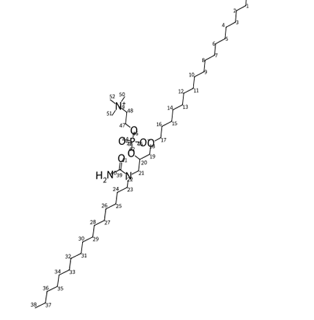 CCCCCCCCCCCCCCCCCCOCC(CN(CCCCCCCCCCCCCCCC)C(N)=O)OP(=O)([O-])OCC[N+](C)(C)C